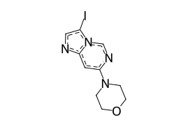 Ic1cnc2cc(N3CCOCC3)ncn12